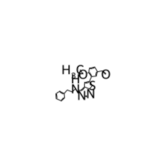 COc1ccc(C=O)cc1-c1cc2c(NCCc3ccccc3)ncnc2s1